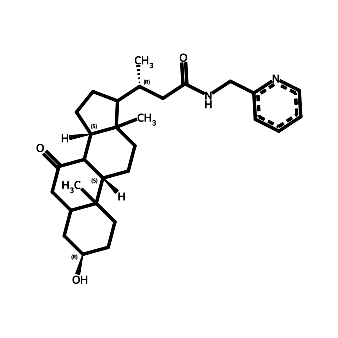 C[C@H](CC(=O)NCc1ccccn1)C1CC[C@H]2C3C(=O)CC4C[C@H](O)CCC4(C)[C@H]3CCC12C